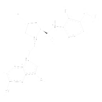 CC(=O)c1cn(CCN2C[C@H](F)C[C@H]2C(=O)Nc2cccc(OC(F)(F)F)c2F)c2ccc(Br)cc12